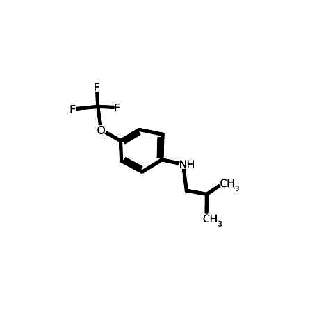 CC(C)CNc1ccc(OC(F)(F)F)cc1